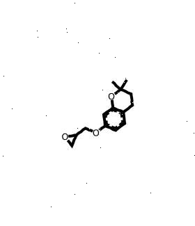 CC1(C)CCc2ccc(OCC3CO3)cc2O1